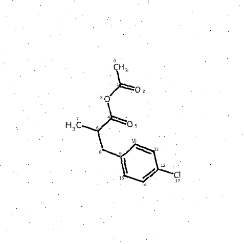 CC(=O)OC(=O)C(C)Cc1ccc(Cl)cc1